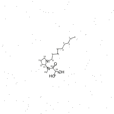 CCCCCCCCCN1CCCC1N(C)C(=O)C(O)O